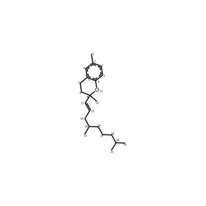 Cc1ccc2c(c1)CCC(C)(/C=C/CC(C)CCCC(C)C)O2